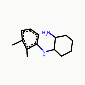 Cc1c[c]cc(NC2CCCCC2N)c1C